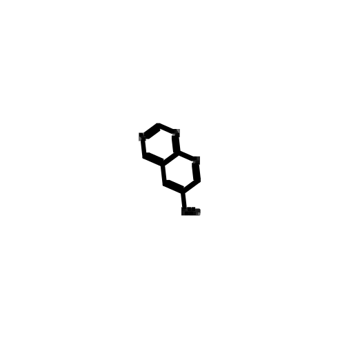 CNc1cnc2ncncc2c1